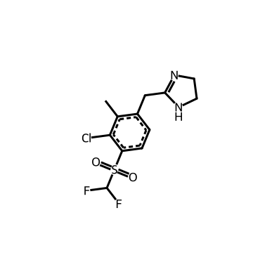 Cc1c(CC2=NCCN2)ccc(S(=O)(=O)C(F)F)c1Cl